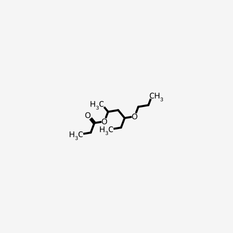 CCCOC(CC)CC(C)OC(=O)CC